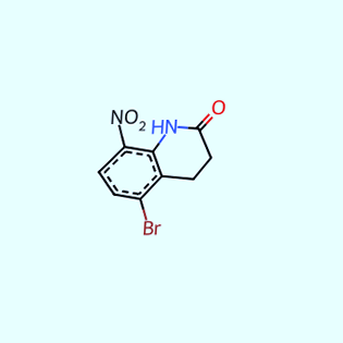 O=C1CCc2c(Br)ccc([N+](=O)[O-])c2N1